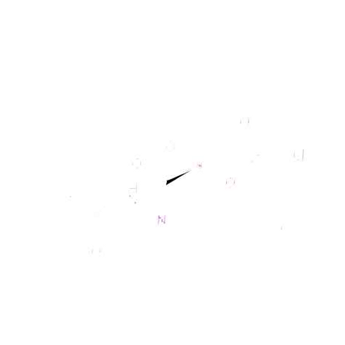 C=CCOc1cc(Cl)c(Cl)cc1C(N[S+]([O-])C(C)(C)C)C1C2CC1CN(C(=O)[C@H]1COC(C)(C)O1)C2